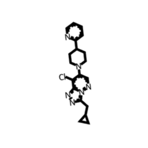 Clc1c(N2CCC(c3ccccn3)CC2)cnn2c(CC3CC3)nnc12